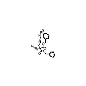 [N-]=[N+]=NC/C=C/CC(N=[N+]=[N-])(C(=O)OCc1ccccc1)C(=O)OCc1ccccc1